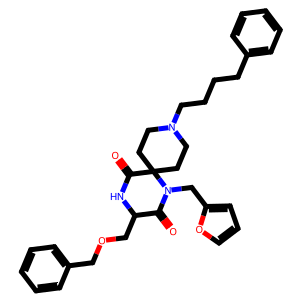 O=C1C(COCc2ccccc2)NC(=O)C2(CCN(CCCCc3ccccc3)CC2)N1Cc1ccco1